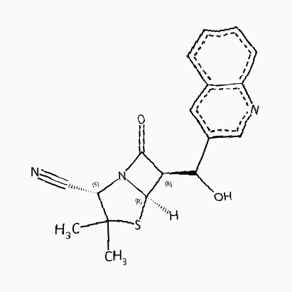 CC1(C)S[C@@H]2[C@H](C(O)c3cnc4ccccc4c3)C(=O)N2[C@H]1C#N